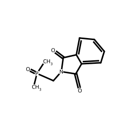 CP(C)(=O)CN1C(=O)c2ccccc2C1=O